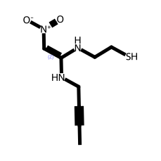 CC#CCN/C(=C/[N+](=O)[O-])NCCS